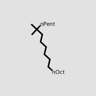 [CH2]CCCCC(C)(C)CCCCCCCCCCCCCC